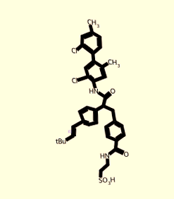 Cc1ccc(-c2cc(Cl)c(NC(=O)C(Cc3ccc(C(=O)NCCS(=O)(=O)O)cc3)c3ccc(/C=C/C(C)(C)C)cc3)cc2C)c(Cl)c1